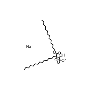 CCCCCCCCCCCCCCOC(=O)C(O)(CCCCCCCCCCCCCC)C(O)C(=O)[O-].[Na+]